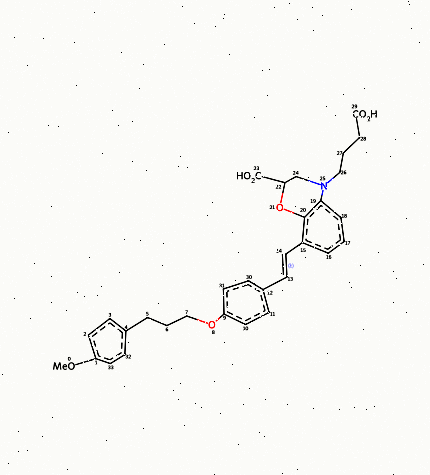 COc1ccc(CCCOc2ccc(/C=C/c3cccc4c3OC(C(=O)O)CN4CCCC(=O)O)cc2)cc1